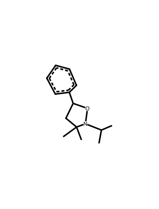 CC(C)N1OC(c2ccccc2)CC1(C)C